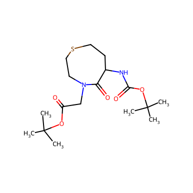 CC(C)(C)OC(=O)CN1CCSCCC(NC(=O)OC(C)(C)C)C1=O